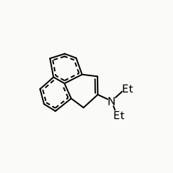 CCN(CC)C1=Cc2cccc3cccc(c23)C1